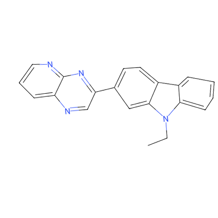 CCn1c2ccccc2c2ccc(-c3cnc4cccnc4n3)cc21